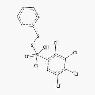 O=S(O)(Cl)(SSc1ccccc1)c1cc(Cl)c(Cl)c(Cl)c1Cl